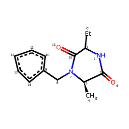 CCC1NC(=O)[C@@H](C)N(Cc2ccccc2)C1=O